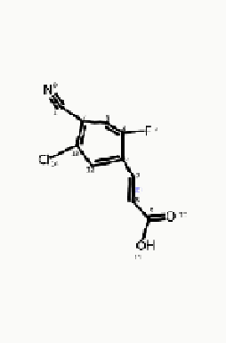 N#Cc1cc(F)c(/C=C/C(=O)O)cc1Cl